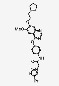 COc1cc2c(Oc3ccc(NC(=O)Cn4cc(C(C)C)nn4)cc3)ncnc2cc1OCCN1CCCC1